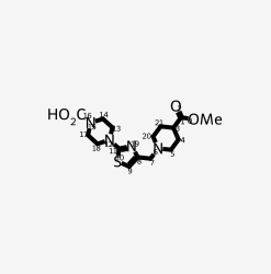 COC(=O)C1CCN(Cc2csc(N3CCN(C(=O)O)CC3)n2)CC1